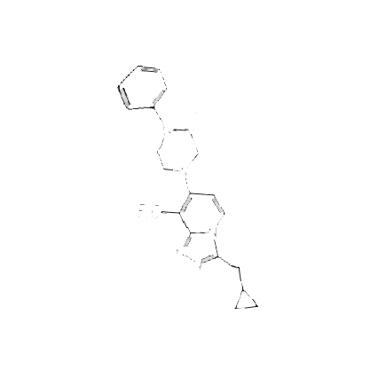 C[C@@H]1CN(c2ccn3c(CC4CC4)nnc3c2C(F)(F)F)CCN1c1ccccc1